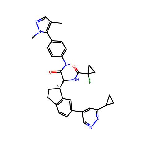 Cc1cnn(C)c1-c1ccc(NC(=O)C(NC(=O)C2(F)CC2)[C@@H]2CCc3ccc(-c4cnnc(C5CC5)c4)cc32)cc1